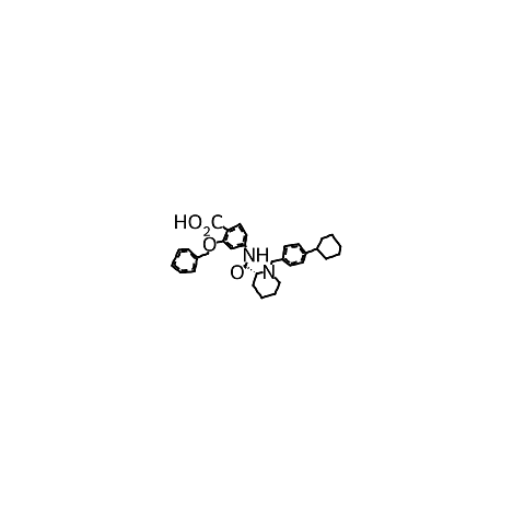 O=C(O)c1ccc(NC(=O)[C@H]2CCCCN2Cc2ccc(C3CCCCC3)cc2)cc1OCc1ccccc1